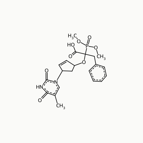 COP(=O)(OC)C(Cc1ccccc1)(OC1C=CC(n2cc(C)c(=O)[nH]c2=O)C1)C(=O)O